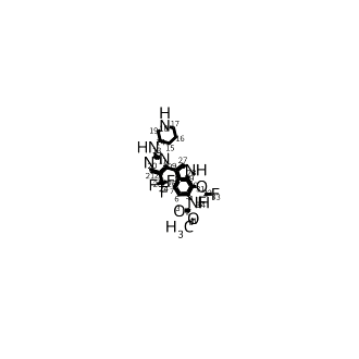 COC(=O)Nc1ccc2c(-c3nc(N[C@H]4CCCNC4)ncc3C(F)(F)F)c[nH]c2c1OC(F)F